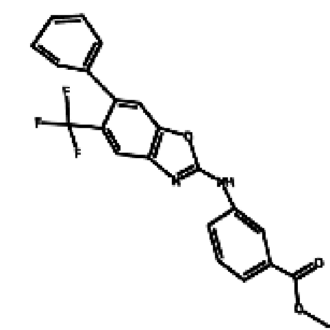 COC(=O)c1cccc(Nc2nc3cc(C(F)(F)F)c(-c4ccccc4)cc3o2)c1